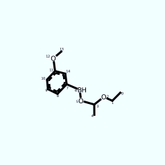 CCOC(C)OBc1cccc(OC)c1